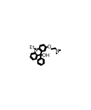 CCN1c2ccccc2C(O)(c2ccccc2)c2cc(OCCN(C)C)ccc21